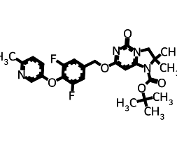 Cc1ccc(Oc2c(F)cc(COc3cc4n(c(=O)n3)CC(C)(C)N4C(=O)OC(C)(C)C)cc2F)cn1